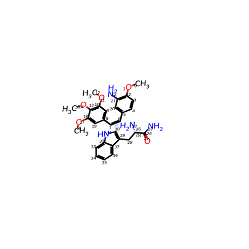 COc1ccc(/C=C\c2cc(OC)c(OC)c(OC)c2)cc1N.NC(=O)[C@@H](N)Cc1c[nH]c2ccccc12